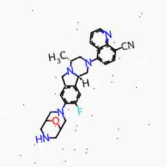 C[C@@H]1CN(c2ccc(C#N)c3ncccc23)C[C@@H]2c3cc(F)c(N4CC5CNCC(C4)O5)cc3CN12